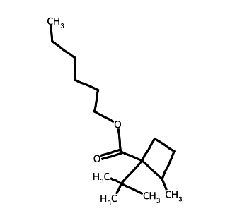 CCCCCCOC(=O)C1(C(C)(C)C)CCC1C